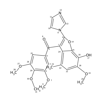 COc1cc(C(=O)c2c(-n3ccnc3)oc3c(O)c(OC)cc(C)c23)cc(OC)c1OC